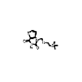 C[Si](C)(C)CCOCn1c(=O)[nH]c(=O)c2sccc21